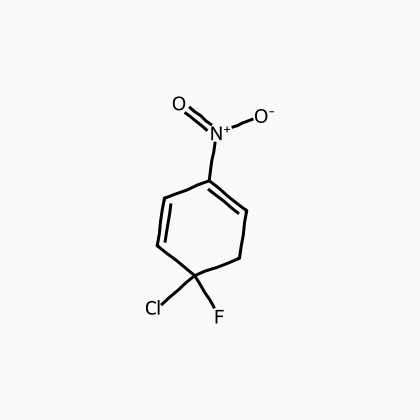 O=[N+]([O-])C1=CCC(F)(Cl)C=C1